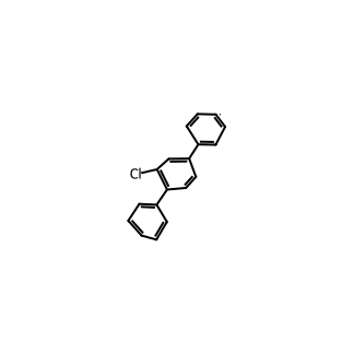 Clc1cc(-c2cc[c]cc2)ccc1-c1ccccc1